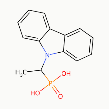 CC(n1c2ccccc2c2ccccc21)P(=O)(O)O